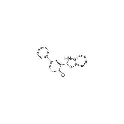 O=C1CC=C(c2ccccc2)C=C1c1cc2ccccc2[nH]1